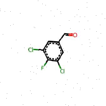 O=Cc1cc(Cl)c(F)c(Cl)c1